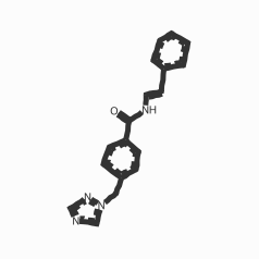 O=C(NC=Cc1ccccc1)c1ccc(Cn2cncn2)cc1